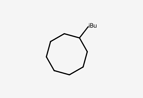 [CH2]CC(C)C1CCCCCCC1